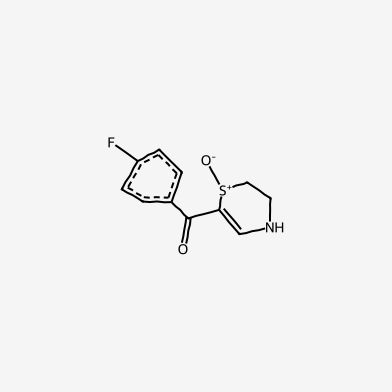 O=C(C1=CNCC[S+]1[O-])c1ccc(F)cc1